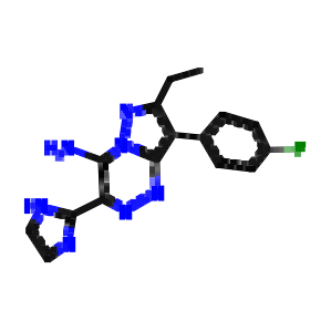 CCc1nn2c(N)c(-c3ncc[nH]3)nnc2c1-c1ccc(F)cc1